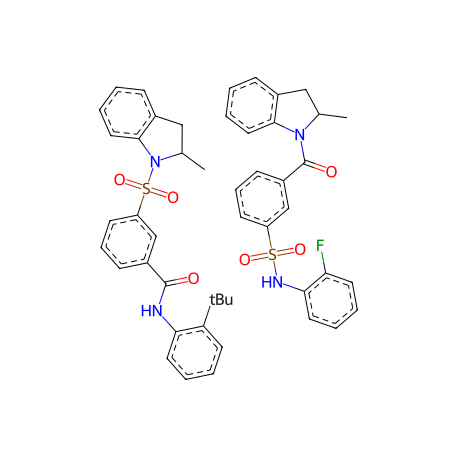 CC1Cc2ccccc2N1C(=O)c1cccc(S(=O)(=O)Nc2ccccc2F)c1.CC1Cc2ccccc2N1S(=O)(=O)c1cccc(C(=O)Nc2ccccc2C(C)(C)C)c1